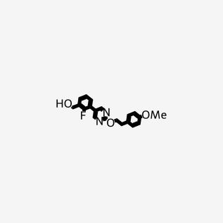 COc1ccc(CCOc2ncc(-c3cccc(CO)c3F)cn2)cc1